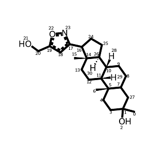 CC1(O)CC[C@@]2(C)C(CC[C@@H]3[C@H]2CC[C@]2(C)C(c4cc(CO)on4)CC[C@@H]32)C1